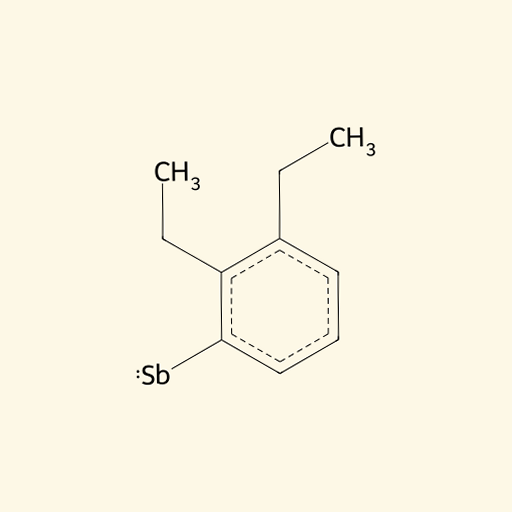 CCc1ccc[c]([Sb])c1CC